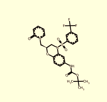 CC(C)(C)OC(=O)Nc1ccc2c(c1)N(S(=O)(=O)c1cccc(C(F)(F)F)c1)C[C@H](Cn1ccccc1=O)O2